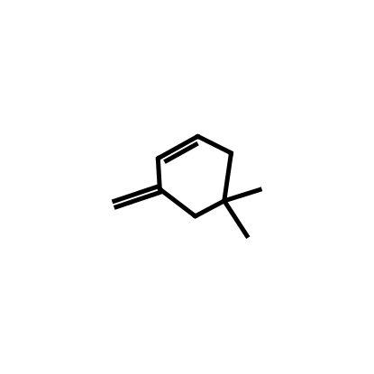 C=C1C=CCC(C)(C)C1